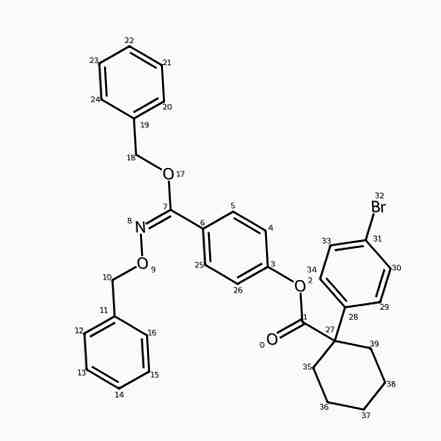 O=C(Oc1ccc(/C(=N\OCc2ccccc2)OCc2ccccc2)cc1)C1(c2ccc(Br)cc2)CCCCC1